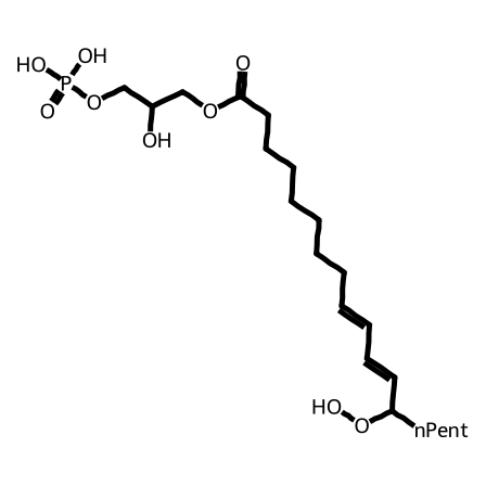 CCCCCC(C=CC=CCCCCCCCC(=O)OCC(O)COP(=O)(O)O)OO